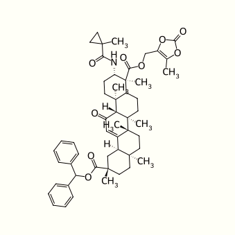 Cc1oc(=O)oc1COC(=O)[C@@]1(C)C2CC[C@]3(C)[C@H](C(=O)C=C4[C@@H]5C[C@@](C)(C(=O)OC(c6ccccc6)c6ccccc6)CC[C@]5(C)CC[C@]43C)[C@@]2(C)CC[C@@H]1NC(=O)C1(C)CC1